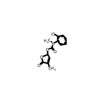 CC1=CC(OC(=O)N(C)c2ccccc2Cl)OC1=O